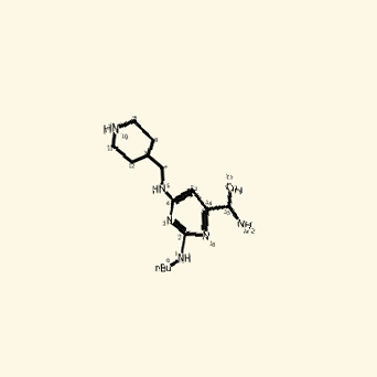 CCCCNc1nc(NCC2CCNCC2)cc(C(N)O)n1